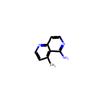 Cc1ccnc2ccnc(N)c12